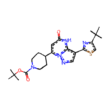 CC(C)(C)OC(=O)N1CCC(c2cc(=O)[nH]c3c(-c4nc(C(C)(C)C)cs4)cnn23)CC1